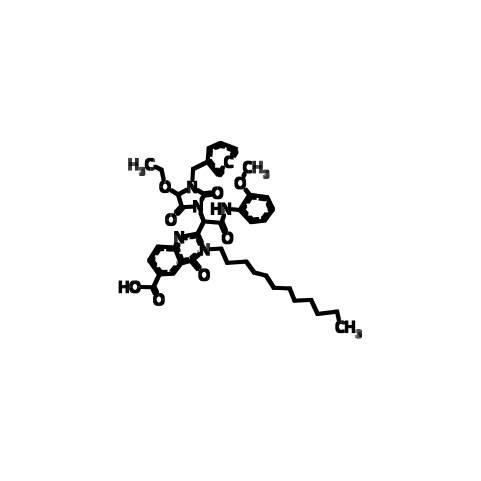 CCCCCCCCCCCCn1c(C(C(=O)Nc2ccccc2OC)N2C(=O)C(OCC)N(Cc3ccccc3)C2=O)nc2ccc(C(=O)O)cc2c1=O